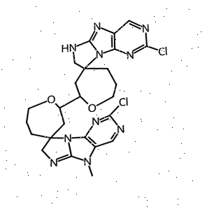 CN1C2=NCC3(CCCOC(C4CC5(CCCO4)CNc4nc6cnc(Cl)nc6n45)C3)N2c2nc(Cl)ncc21